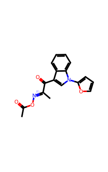 CC(=O)O/N=C(\C)C(=O)c1cn(-c2ccco2)c2ccccc12